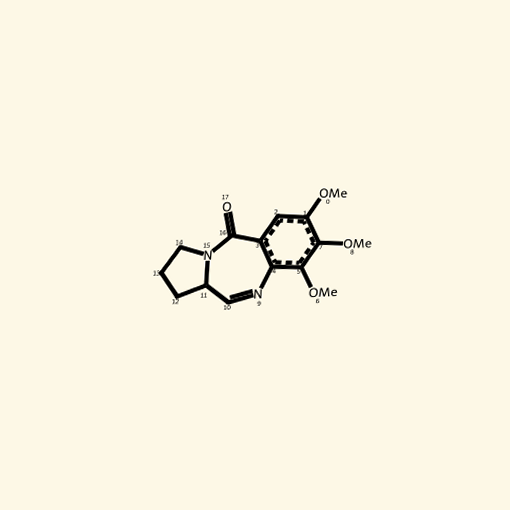 COc1cc2c(c(OC)c1OC)N=CC1CCCN1C2=O